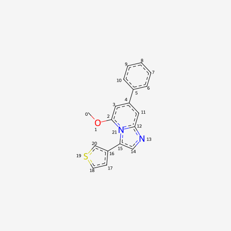 COc1cc(-c2ccccc2)cc2ncc(-c3ccsc3)n12